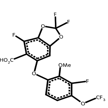 COc1c(Oc2cc3c(c(F)c2C(=O)O)OC(F)(F)O3)ccc(OC(F)(F)F)c1F